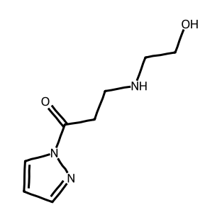 O=C(CCNCCO)n1cccn1